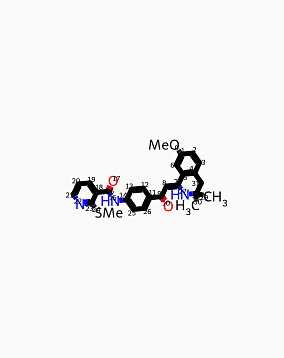 COc1ccc2c(c1)/C(=C/C(=O)c1ccc(NC(=O)c3cccnc3SC)cc1)NC(C)(C)C2